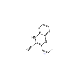 C#CC1=C(/C=C\C)Sc2ccccc2N1